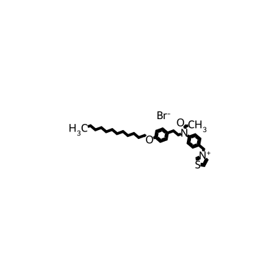 CCCCCCCCCCCCOc1ccc(CCN(C(C)=O)c2ccc(C[n+]3ccsc3)cc2)cc1.[Br-]